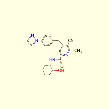 Cc1nc(C(=O)N[C@H]2CCCC[C@@H]2O)cc(Cc2ccc(-n3cccn3)cc2)c1C#N